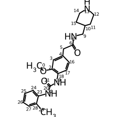 COc1cc(CC(=O)NCC2CCNCC2)ccc1NC(=O)Nc1ccccc1C